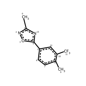 Cc1noc(-c2ccc(C)c(C(F)(F)F)c2)n1